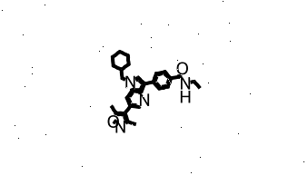 CCNC(=O)c1ccc(-c2cn(CC3CCCCC3)c3cc(-c4c(C)noc4C)cnc23)cc1